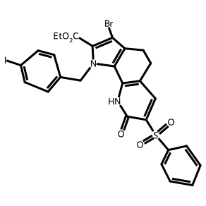 CCOC(=O)c1c(Br)c2c(n1Cc1ccc(I)cc1)-c1[nH]c(=O)c(S(=O)(=O)c3ccccc3)cc1CC2